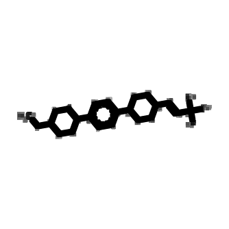 CCC1CCC(c2ccc(C3CCC(C=CC(F)(F)F)CC3)cc2)CC1